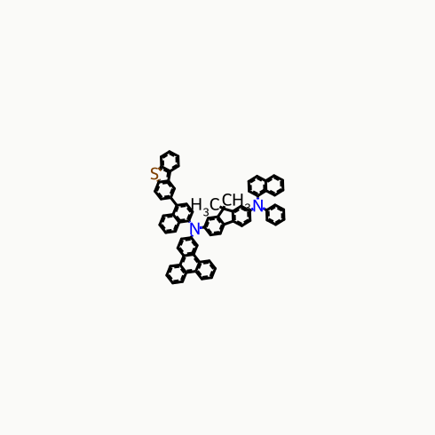 CC1(C)c2cc(N(c3ccccc3)c3cccc4ccccc34)ccc2-c2ccc(N(c3ccc4c5ccccc5c5ccccc5c4c3)c3ccc(-c4ccc5sc6ccccc6c5c4)c4ccccc34)cc21